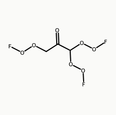 O=C(COOF)C(OOF)OOF